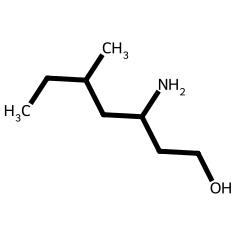 CCC(C)CC(N)CCO